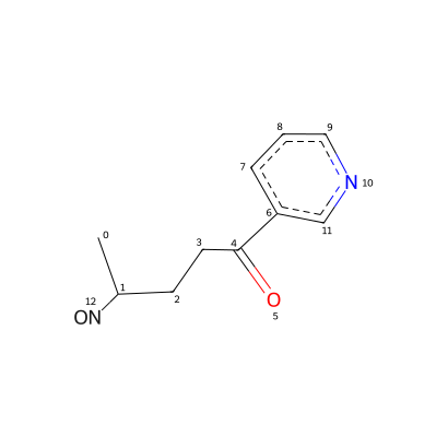 CC(CCC(=O)c1cccnc1)N=O